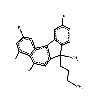 CCCCC1(C)c2ccc(Br)cc2-c2c1cc(O)c1c(F)cc(F)cc21